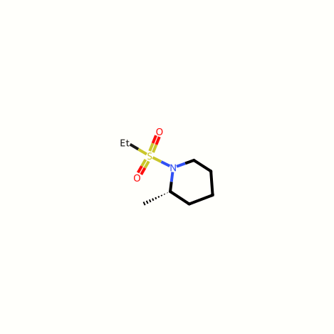 CCS(=O)(=O)N1CCCC[C@@H]1C